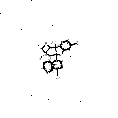 N#Cc1ccc(C23Oc4cc(Cl)cnc4C2(O)[C@@H]2OC[C@@H]2[C@H]3c2ccccc2)cc1